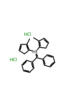 CC1=[C]([Hf]([C]2=C(C)C=CC2)=[C](c2ccccc2)c2ccccc2)CC=C1.Cl.Cl